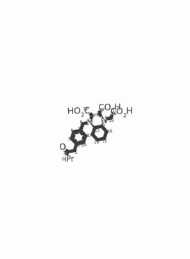 CC(C)C(=O)Cc1ccc(CN(CC(=O)O)[C@@H]2CCCC[C@H]2N(CC(=O)O)CC(=O)O)cc1